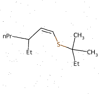 CCCC(/C=C\SC(C)(C)CC)CC